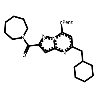 CCCCCc1cc(CC2CCCCC2)nc2cc(C(=O)N3CCCCCC3)nn12